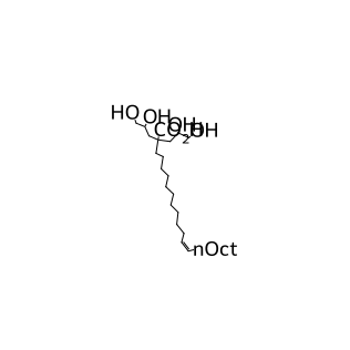 CCCCCCCC/C=C\CCCCCCCCCCC(CC(O)CO)(CC(O)CO)C(=O)O